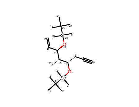 C#CC[C@H](O[Si](C)(C)C(C)(C)C)[C@H](C)[C@@H](C=C)O[Si](C)(C)C(C)(C)C